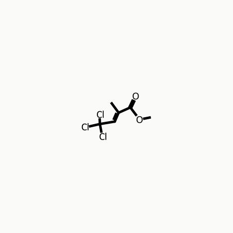 COC(=O)C(C)=CC(Cl)(Cl)Cl